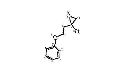 CCC1(CCOc2ccccc2)CO1